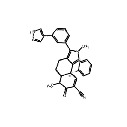 CC1C(=O)C(C#N)=C[C@]2(c3ccccc3)c3nn(C)c(-c4cccc(-c5cn[nH]c5)c4)c3CCC12